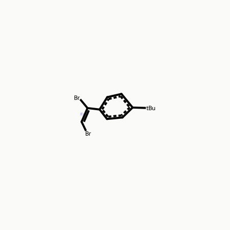 CC(C)(C)c1ccc(/C(Br)=C\Br)cc1